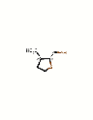 O=C(O)[C@@H]1CCS[C@H]1CS